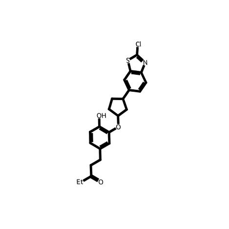 CCC(=O)CCc1ccc(O)c(OC2CCC(c3ccc4nc(Cl)sc4c3)C2)c1